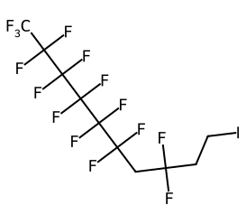 FC(F)(CCI)CC(F)(F)C(F)(F)C(F)(F)C(F)(F)C(F)(F)C(F)(F)F